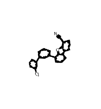 N#Cc1cccc2c1oc1c(-c3cccc(-c4cccc(Cl)c4)c3)cccc12